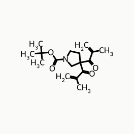 C=C(C)C(=O)C1(C(=O)C(=C)C)CCN(C(=O)OC(C)(C)C)C1